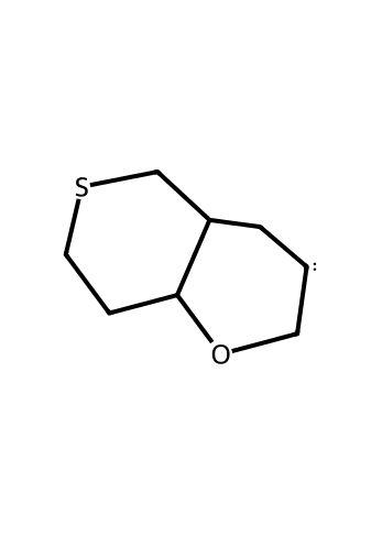 [C]1COC2CCSCC2C1